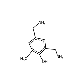 Cc1cc(CN)cc(CN)c1O